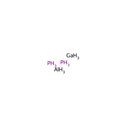 P.P.[AlH3].[GaH3]